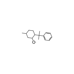 CC1CCC(C(C)(C)c2ccccc2)C([O])C1